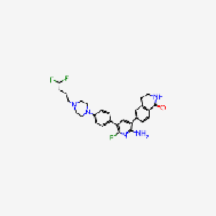 Nc1nc(F)c(-c2ccc(N3CCN(CCCC(F)F)CC3)cc2)cc1-c1ccc2c(c1)CCNC2=O